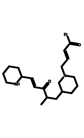 CCC(=O)/C=C/CN1CCCC(CC(C)C(=O)/C=C/C2CCCCN2)C1